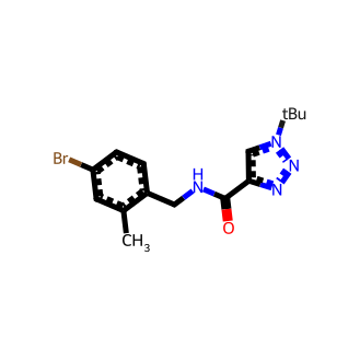 Cc1cc(Br)ccc1CNC(=O)c1cn(C(C)(C)C)nn1